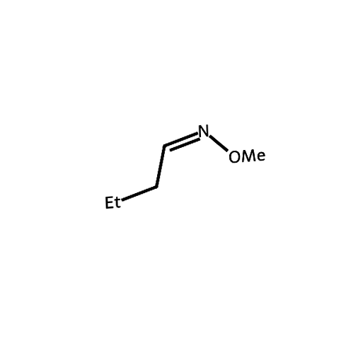 CCC/C=N\OC